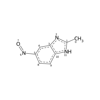 Cc1nc2cc(N=O)ccc2[nH]1